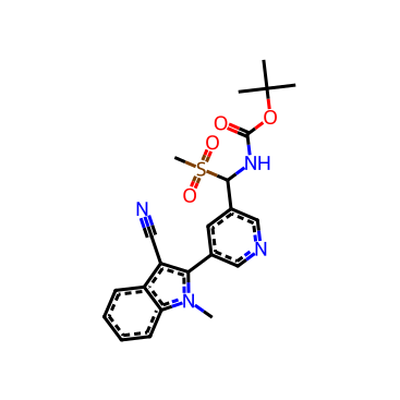 Cn1c(-c2cncc(C(NC(=O)OC(C)(C)C)S(C)(=O)=O)c2)c(C#N)c2ccccc21